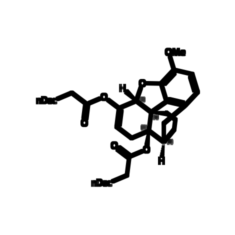 CCCCCCCCCCCC(=O)OC1=CC[C@@]2(OC(=O)CCCCCCCCCCC)[C@@H]3CCC[C@@]24c2c(ccc(OC)c2O[C@@H]14)C3